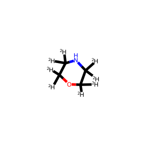 [2H]C1([2H])NC([2H])([2H])C([2H])([2H])OC1([2H])[2H]